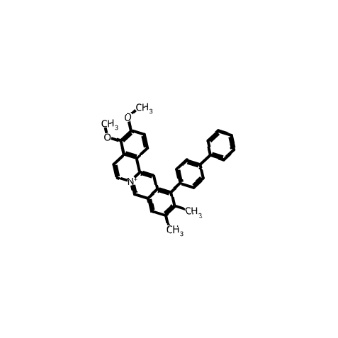 COc1ccc2c(cc[n+]3cc4cc(C)c(C)c(-c5ccc(-c6ccccc6)cc5)c4cc23)c1OC